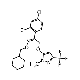 Cn1nc(C(F)(F)F)cc1OC/C(=N\OCC1CCCCC1)c1ccc(Cl)cc1Cl